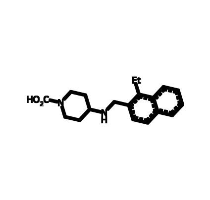 CCc1c(CNC2CCN(C(=O)O)CC2)ccc2ccccc12